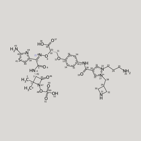 CC1(C)[C@H](NC(=O)/C(=N\O[C@@H](COc2ccc(NC(=O)c3cn(CCCN)[n+](CC4CNC4)c3)cc2)C(=O)O)c2csc(N)n2)C(=O)N1OS(=O)(=O)O